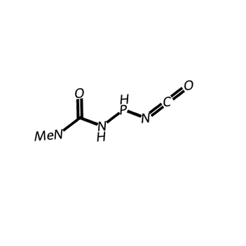 CNC(=O)NPN=C=O